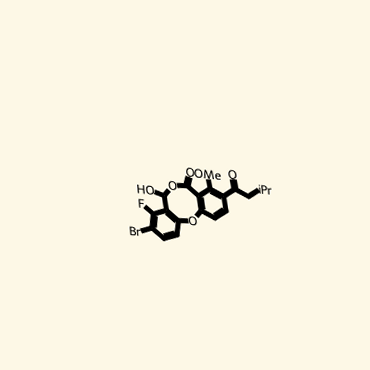 COc1c(C(=O)CC(C)C)ccc2c1C(=O)OC(O)c1c(ccc(Br)c1F)O2